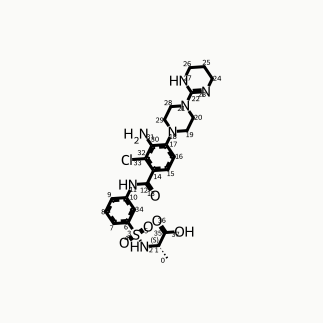 C[C@H](NS(=O)(=O)c1cccc(NC(=O)c2ccc(N3CCN(C4=NCCCN4)CC3)c(N)c2Cl)c1)C(=O)O